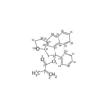 C=C(C)C(=O)OC1(CC2CCCO2)c2ccccc2-c2cccc3cccc1c23